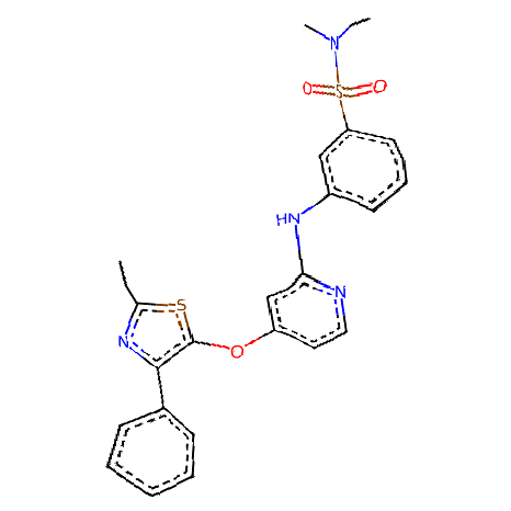 Cc1nc(-c2ccccc2)c(Oc2ccnc(Nc3cccc(S(=O)(=O)N(C)C)c3)c2)s1